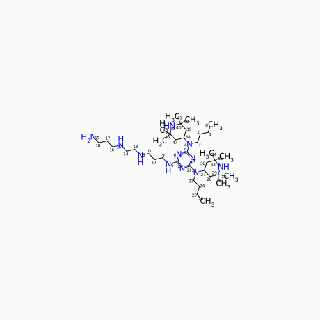 CCCCN(c1nc(NCCCNCCNCCCN)nc(N(CCCC)C2CC(C)(C)NC(C)(C)C2)n1)C1CC(C)(C)NC(C)(C)C1